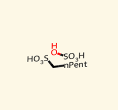 CCCCCCS(=O)(=O)O.O=S(=O)(O)O